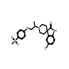 CC(COc1ccc(S(C)(=O)=O)cc1)N1CCC2(CC1)C(=O)Nc1ccc(Cl)cc12